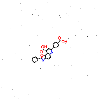 O=C(O)c1ccc(-c2cc(C(=O)O)c3c(ccc4nc(-c5ccccc5)oc43)n2)cc1